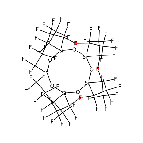 FC(F)(F)C(F)(F)[Si]1(C(F)(F)C(F)(F)F)O[Si](C(F)(F)C(F)(F)F)(C(F)(F)C(F)(F)F)O[Si](C(F)(F)C(F)(F)F)(C(F)(F)C(F)(F)F)O[Si](C(F)(F)C(F)(F)F)(C(F)(F)C(F)(F)F)O[Si](C(F)(F)C(F)(F)F)(C(F)(F)C(F)(F)F)O1